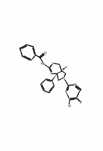 CC(C)c1nc(N2C[C@H]3CSC(NC(=O)c4ccccc4)=N[C@@]3(c3ccccc3)C2)ncc1F